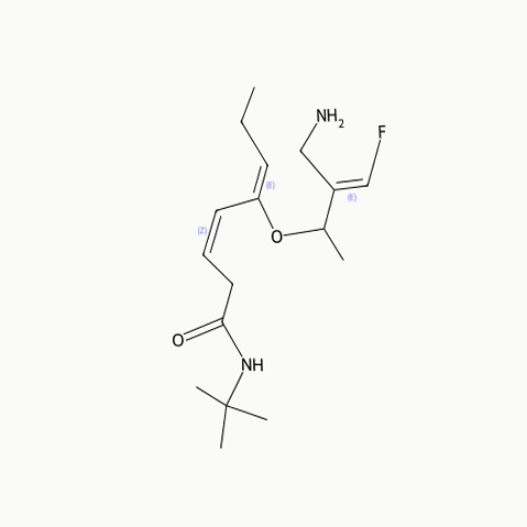 CC/C=C(\C=C/CC(=O)NC(C)(C)C)OC(C)/C(=C/F)CN